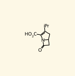 CC(C)C1=C(C(=O)O)N2C(=O)CC2C1